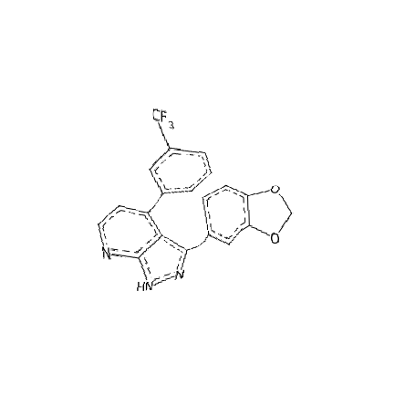 FC(F)(F)c1cccc(-c2ccnc3[nH]nc(-c4ccc5c(c4)OCO5)c23)c1